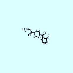 NCC(=O)N1CCN(C(=O)c2cccnc2Cl)CC1